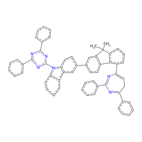 CC1(C)c2cc(-c3ccc4c(c3)c3ccccc3n4-c3nc(-c4ccccc4)nc(-c4ccccc4)n3)ccc2-c2c(C3=CCC(c4ccccc4)=NC(c4ccccc4)=N3)cccc21